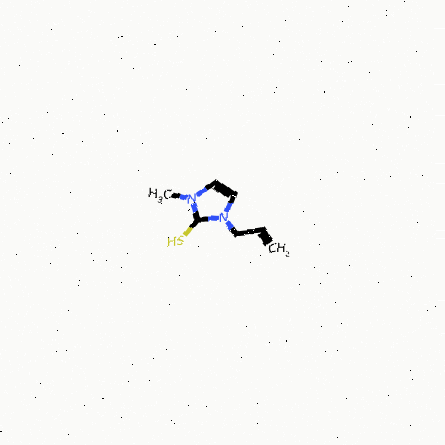 C=CCN1C=CN(C)C1S